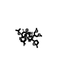 COCC(COC)n1c(NS(=O)(=O)[C@@H](C)[C@@H](OC(C)C)c2ncc(F)cn2)nnc1[C@H]1CC[C@@H](C)O1